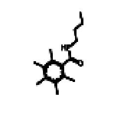 CCCCPC(=O)c1c(C)c(C)c(C)c(C)c1C